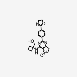 [O-][S@+]1CCc2nc(-c3ccc(-c4ncco4)cc3)nc(NC3(CO)CCC3)c21